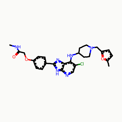 CNC(=O)COc1ccc(-c2nc3c(NC4CCN(Cc5ccc(C)o5)CC4)c(Cl)cnc3[nH]2)cc1